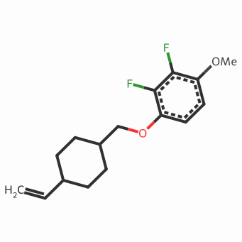 C=CC1CCC(COc2ccc(OC)c(F)c2F)CC1